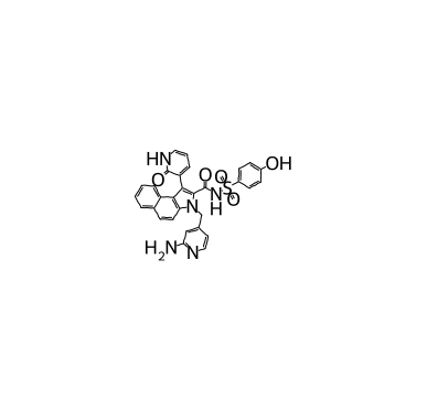 Nc1cc(Cn2c(C(=O)NS(=O)(=O)c3ccc(O)cc3)c(-c3ccc[nH]c3=O)c3c4ccccc4ccc32)ccn1